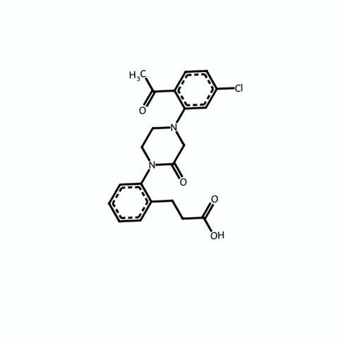 CC(=O)c1ccc(Cl)cc1N1CCN(c2ccccc2CCC(=O)O)C(=O)C1